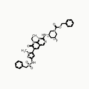 CCn1c(=O)c(-c2cc(NS(=O)(=O)Cc3ccccc3)nn2C)cc2cnc(N[C@H]3C[C@H](F)CN(C(=O)OCc4ccccc4)C3)nc21